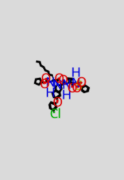 CCCCCCCC[C@H](NC(=O)OC1CCCC1)C(=O)N1Cc2ccc(Oc3cccc(Cl)c3)cc2CC1C(=O)NC1(C(=O)NS(=O)(=O)c2ccccc2)CC1